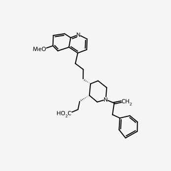 C=C(Cc1ccccc1)N1CC[C@@H](CCCc2ccnc3ccc(OC)cc23)[C@@H](CCC(=O)O)C1